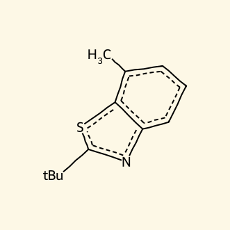 Cc1cccc2nc(C(C)(C)C)sc12